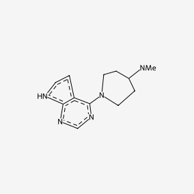 CNC1CCN(c2ncnc3[nH]ccc23)CC1